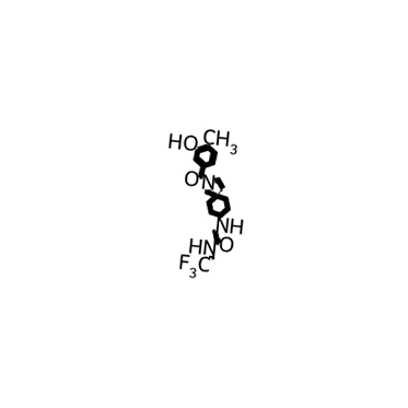 Cc1ccc(C(=O)N2CC[C@]3(CC[C@H](NCC(=O)NCC(F)(F)F)CC3)C2)cc1O